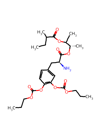 CCCOC(=O)Oc1ccc(C[C@H](N)C(=O)O[C@@H](C)C(C)OC(=O)C(C)CC)cc1OC(=O)OCCC